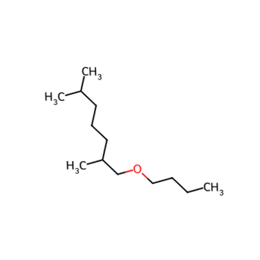 CCCCOCC(C)CCCC(C)C